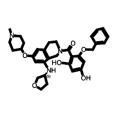 CN1CCC(Oc2cc3c(c(N[C@H]4CCOC4)c2)CN(C(=O)c2c(O)cc(O)cc2OCc2ccccc2)CC3)CC1